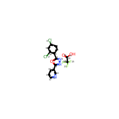 Clc1ccc(-c2nnc(-c3cccnc3)o2)c(Cl)c1.O=C(O)C(F)(F)F